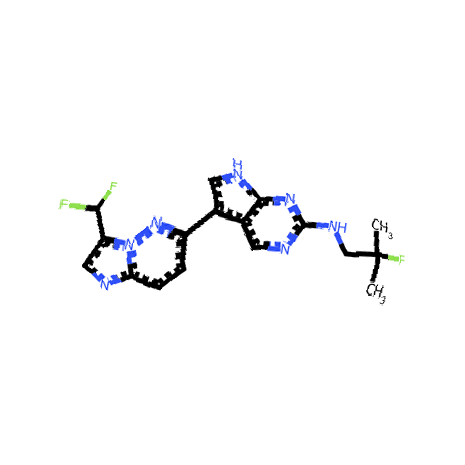 CC(C)(F)CNc1ncc2c(-c3ccc4ncc(C(F)F)n4n3)c[nH]c2n1